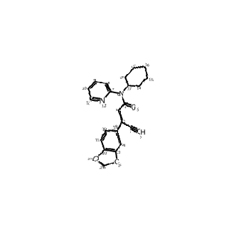 C#C/C(=C\C(=O)N(c1ccccn1)C1CCCCC1)c1ccc2c(c1)OCO2